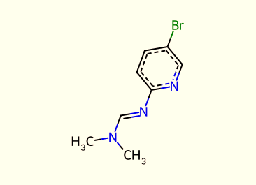 CN(C)/C=N/c1ccc(Br)cn1